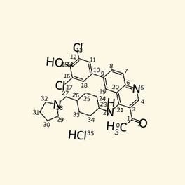 CC(=O)c1cnc2ccc(-c3cc(Cl)c(O)c(Cl)c3)cc2c1NC1CCC(CN2CCCC2)CC1.Cl